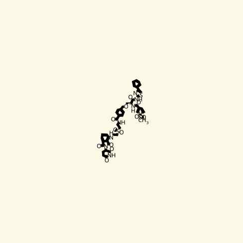 CS(=O)(=O)n1ccc(C(=O)N[C@@H](COCc2ccc(C(=O)NCCS(=O)(=O)CCNc3cccc4c3C(=O)N(C3CCC(=O)NC3=O)C4=O)cc2)C(=O)Nc2nc(-c3ccccc3)cs2)c1